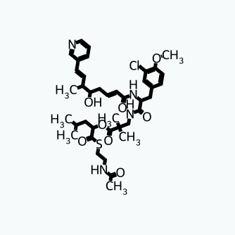 COc1ccc(CC(NC(=O)/C=C/CC(O)C(C)/C=C/c2cccnc2)C(=O)NCC(C)(C)C(=O)OC(CC(C)C)C(=O)SCCNC(C)=O)cc1Cl